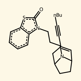 CCCCC#CC1=CC2CCC(C1)N2CCCn1c(=O)sc2ccccc21